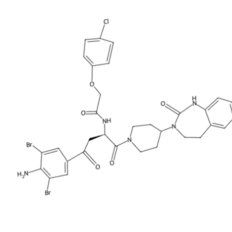 Nc1c(Br)cc(C(=O)C[C@@H](NC(=O)COc2ccc(Cl)cc2)C(=O)N2CCC(N3CCc4ccccc4NC3=O)CC2)cc1Br